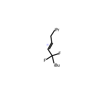 CCC(C)C(F)(F)/C=C/CC(C)C